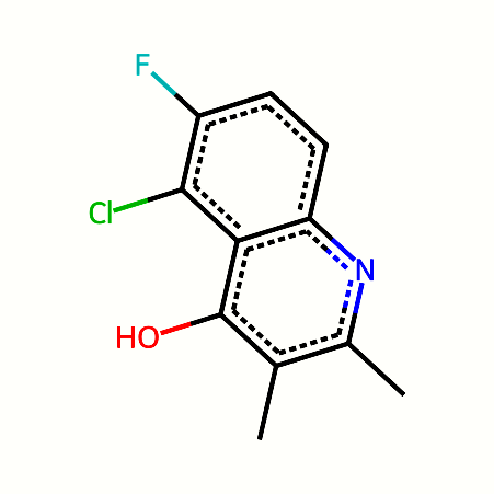 Cc1nc2ccc(F)c(Cl)c2c(O)c1C